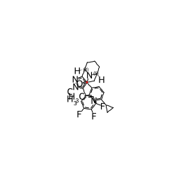 Cc1nc(C2CC2)ccc1C(=O)N1[C@H]2CCC[C@@H]1c1nn(C)c(-c3cc(F)c(F)c(F)c3)c1C2